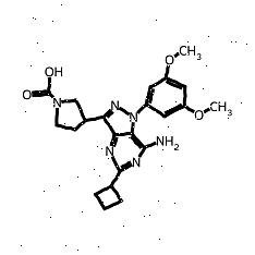 COc1cc(OC)cc(-n2nc(C3CCN(C(=O)O)C3)c3nc(C4CCC4)nc(N)c32)c1